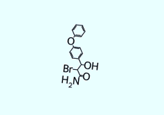 NC(=O)C(Br)C(O)c1ccc(Oc2ccccc2)cc1